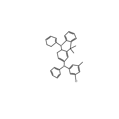 Cc1cc(Cl)cc(N(C2=CCC3C(=C2)C(C)(C)c2ccccc2N3C2=CC=CCC2)c2ccccc2)c1